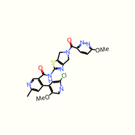 COc1ccc(C(=O)N2Cc3nc(NC(=O)c4cnc(C)cc4-c4cc(Cl)ncc4OC)sc3C2)nn1